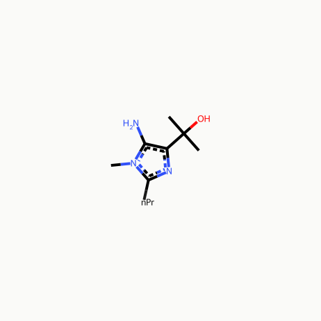 CCCc1nc(C(C)(C)O)c(N)n1C